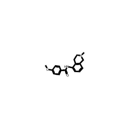 COc1ccc(C(=O)Nc2cccc3c2CCN(C)C3)cc1